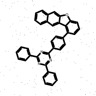 c1ccc(-c2nc(-c3ccccc3)nc(-c3ccc(-c4cccc5oc6cc7ccccc7cc6c45)cc3)n2)cc1